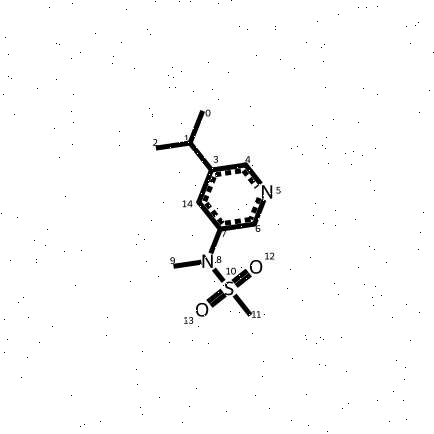 CC(C)c1cncc(N(C)S(C)(=O)=O)c1